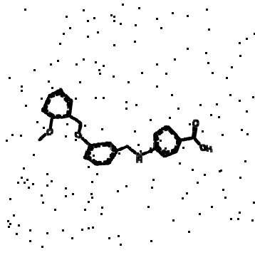 COc1ccccc1COc1cccc(CNc2ccc(C(=O)O)cc2)c1